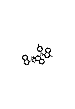 Cc1ccc(N(c2ccc(C)c3ccccc23)c2cc3nn(-c4cccc5ccccc45)nc3c3ccccc23)cc1